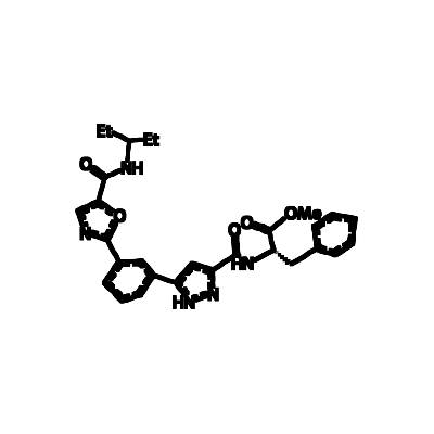 CCC(CC)NC(=O)c1cnc(-c2cccc(-c3cc(C(=O)N[C@@H](Cc4ccccc4)C(=O)OC)n[nH]3)c2)o1